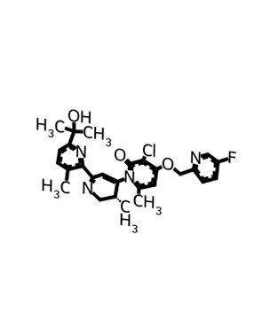 Cc1ccc(C(C)(C)O)nc1C1=NC[C@@H](C)C(n2c(C)cc(OCc3ccc(F)cn3)c(Cl)c2=O)=C1